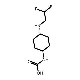 O=C(O)N[C@H]1CC[C@H](NCC(F)F)CC1